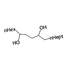 CCCCCCCCC(O)CCC(O)CCCCCC